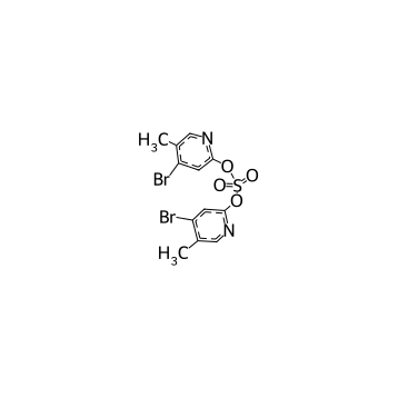 Cc1cnc(OS(=O)(=O)Oc2cc(Br)c(C)cn2)cc1Br